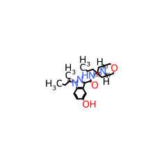 CCCCN1[C@@H]2COC[C@H]1C[C@@H](NC(=O)c1nn([C@@H](C)CC)c3ccc(O)cc13)C2